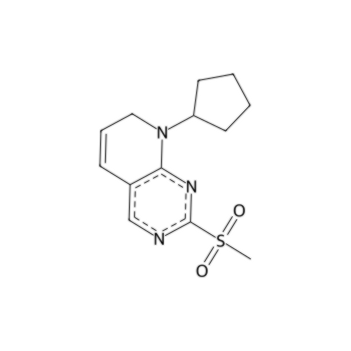 CS(=O)(=O)c1ncc2c(n1)N(C1CCCC1)CC=C2